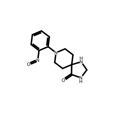 O=Nc1ccccc1N1CCC2(CC1)NCNC2=O